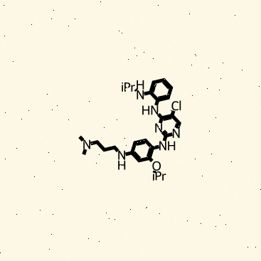 CC(C)Nc1ccccc1Nc1nc(Nc2ccc(NCCCN(C)C)cc2OC(C)C)ncc1Cl